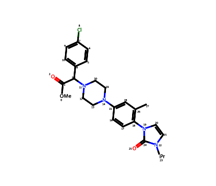 COC(=O)C(c1ccc(Cl)cc1)N1CCN(c2ccc(-n3ccn(C(C)C)c3=O)c(C)c2)CC1